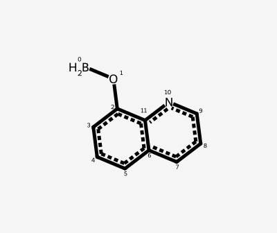 BOc1cccc2cccnc12